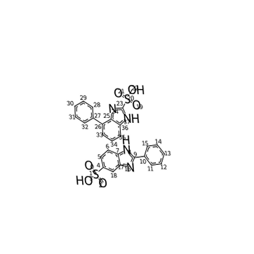 O=S(=O)(O)c1ccc2[nH]c(-c3ccccc3)nc2c1.O=S(=O)(O)c1nc2c(-c3ccccc3)cccc2[nH]1